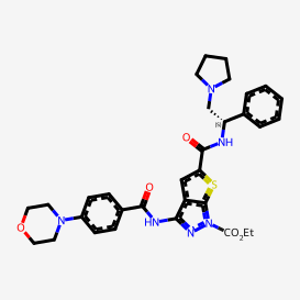 CCOC(=O)n1nc(NC(=O)c2ccc(N3CCOCC3)cc2)c2cc(C(=O)N[C@H](CN3CCCC3)c3ccccc3)sc21